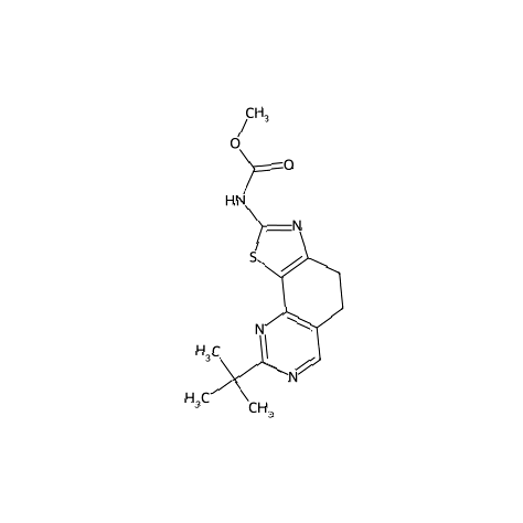 COC(=O)Nc1nc2c(s1)-c1nc(C(C)(C)C)ncc1CC2